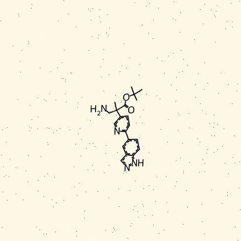 CC(C)(C)OC(=O)C(C)(CN)c1ccc(-c2ccc3[nH]ncc3c2)nc1